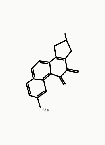 C=c1c2c(c3ccc4ccc(OC)cc4c3c1=C)CC(C)C2